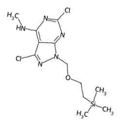 CNc1nc(Cl)nc2c1c(Cl)nn2COCC[Si](C)(C)C